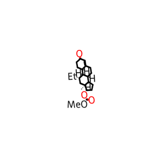 CC[C@H]1C[C@]2(C)[C@@H](OC(=O)OC)CC[C@H]2[C@@H]2CCC3=CC(=O)CC[C@@H]3[C@@H]12